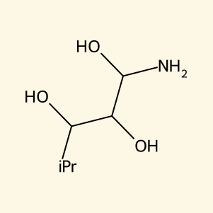 [CH2]C(C)C(O)C(O)C(N)O